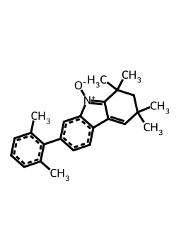 Cc1cccc(C)c1-c1ccc2c(c1)[N+]([O-])=C1C2=CC(C)(C)CC1(C)C